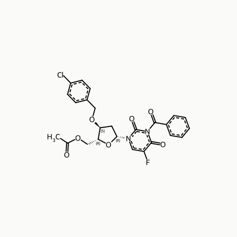 CC(=O)OC[C@H]1O[C@@H](n2cc(F)c(=O)n(C(=O)c3ccccc3)c2=O)C[C@@H]1OCc1ccc(Cl)cc1